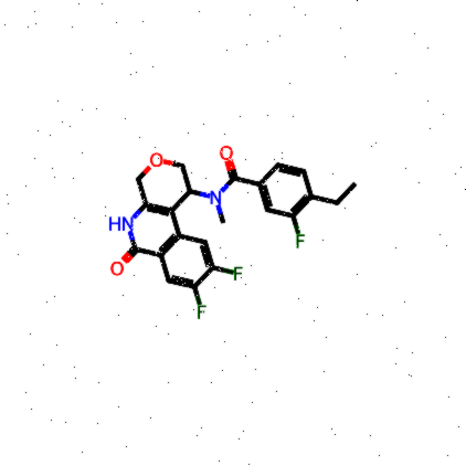 CCc1ccc(C(=O)N(C)C2COCc3[nH]c(=O)c4cc(F)c(F)cc4c32)cc1F